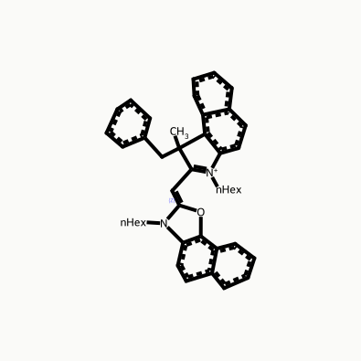 CCCCCCN1/C(=C/C2=[N+](CCCCCC)c3ccc4ccccc4c3C2(C)Cc2ccccc2)Oc2c1ccc1ccccc21